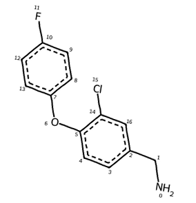 NCc1ccc(Oc2ccc(F)cc2)c(Cl)c1